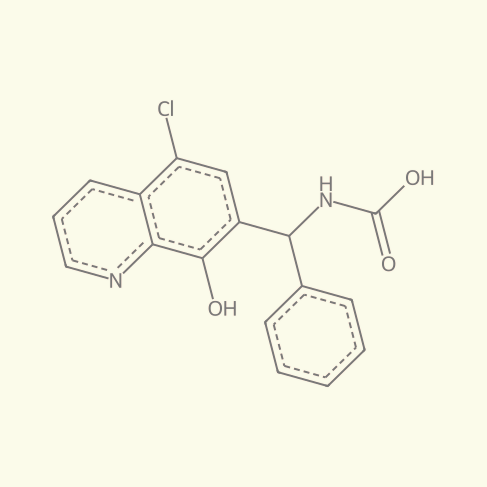 O=C(O)NC(c1ccccc1)c1cc(Cl)c2cccnc2c1O